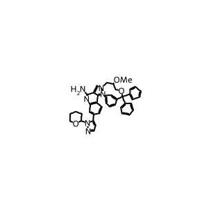 COC(COC(c1ccccc1)(c1ccccc1)c1ccccc1)Cn1cc2c(N)nc3cc(-c4ccnn4C4CCCCO4)ccc3c2n1